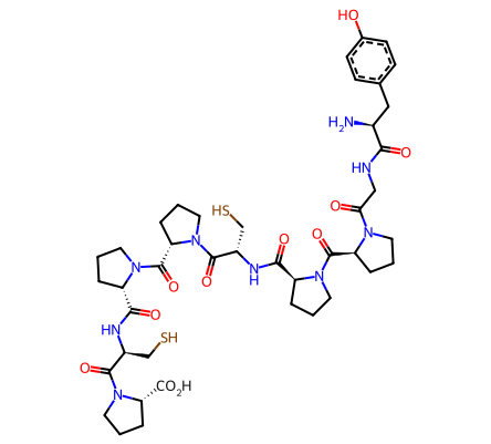 N[C@@H](Cc1ccc(O)cc1)C(=O)NCC(=O)N1CCC[C@H]1C(=O)N1CCC[C@H]1C(=O)N[C@@H](CS)C(=O)N1CCC[C@H]1C(=O)N1CCC[C@H]1C(=O)N[C@@H](CS)C(=O)N1CCC[C@H]1C(=O)O